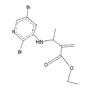 C=C(C(=O)OCC)C(C)Nc1cc(Br)cnc1Br